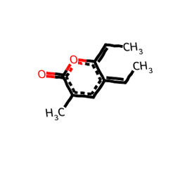 C/C=c1/cc(C)c(=O)o/c1=C/C